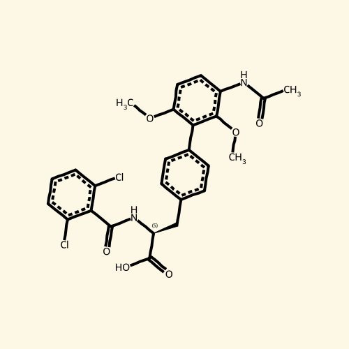 COc1ccc(NC(C)=O)c(OC)c1-c1ccc(C[C@H](NC(=O)c2c(Cl)cccc2Cl)C(=O)O)cc1